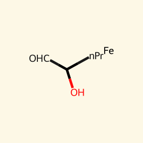 CCCC(O)C=O.[Fe]